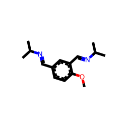 COc1ccc(/C=N/C(C)C)cc1/C=N/C(C)C